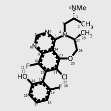 CN[C@H](C)CN1c2ncnc3c(F)c(-c4c(O)cccc4F)c(Cl)c(c23)OC[C@@H]1C